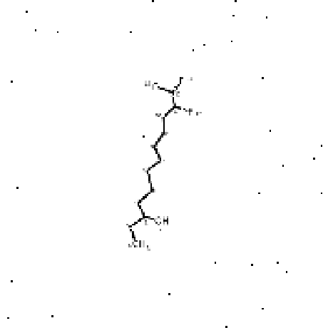 CCC(O)CCCCCCCC(F)C(F)F